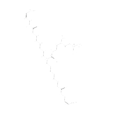 CCCCCC/C=C\COC(=O)CCCCCCCN(CCCCCCCC(=O)OC/C=C\CCCCCC)C(=O)OCCN(C)CCN(C)C